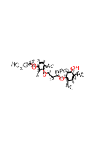 CCCc1c(O)c(C(C)=O)cc(C(C)=O)c1OCCCOc1c(C(C)=O)ccc(OCC(=O)O)c1C